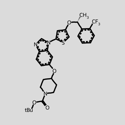 C[C@@H](Oc1csc(-n2cnc3ccc(OC4CCN(C(=O)OC(C)(C)C)CC4)cc32)c1)c1ccccc1C(F)(F)F